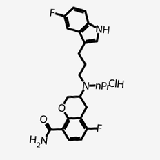 CCCN(CCCc1c[nH]c2ccc(F)cc12)C1COc2c(C(N)=O)ccc(F)c2C1.Cl